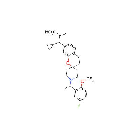 CC(C(=O)O)C(c1ccc2c(c1)OC1(CC2)CCN(C(C)c2cc(F)ccc2OC(F)(F)F)CC1)C1CC1